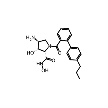 CCCc1ccc(-c2ccccc2C(=O)N2C[C@H](N)[C@@H](O)[C@H]2C(=O)NO)cc1